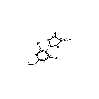 CCc1cc(F)c([C@@H]2CNC(=O)C2)c(F)c1